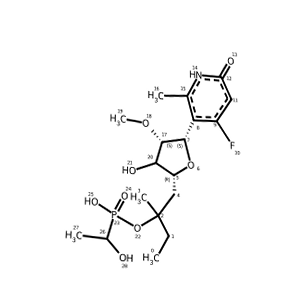 CCC(C)(C[C@H]1O[C@@H](c2c(F)cc(=O)[nH]c2C)[C@@H](OC)C1O)OP(=O)(O)C(C)O